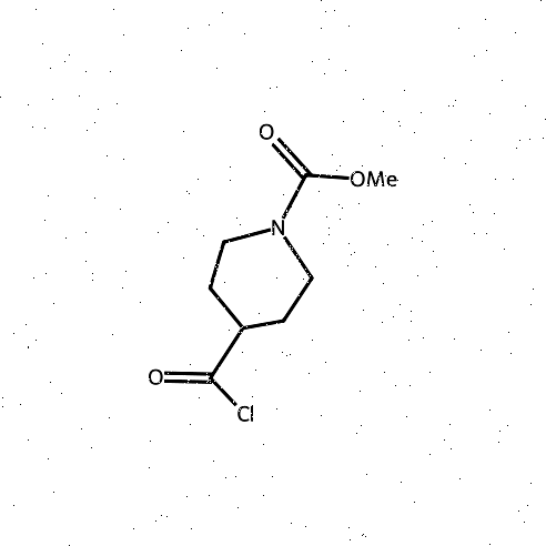 COC(=O)N1CCC(C(=O)Cl)CC1